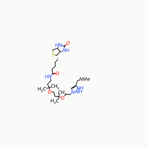 CNCC1=CN(CCOC(C)(C)CCOC(C)(C)CCNC(=O)CCCC[C@@H]2SCC3NC(=O)NC32)NN1